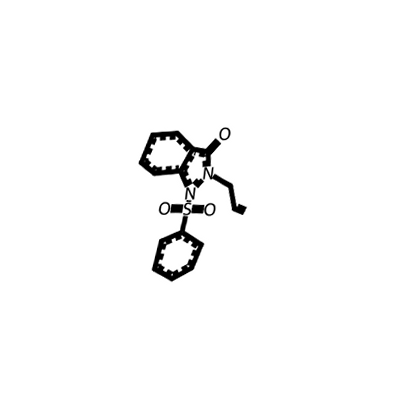 C=CCn1c(=O)c2ccccc2n1S(=O)(=O)c1ccccc1